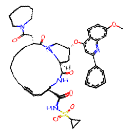 COc1ccc2c(O[C@@H]3C[C@H]4C(=O)N[C@@H](C(=O)NS(=O)(=O)C5CC5)C/C=C\CCCCC[C@H](CC(=O)N5CCCCC5)C(=O)N4C3)cc(-c3ccccc3)nc2c1